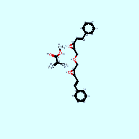 C(=CC1OC1COCC1OC1C=Cc1ccccc1)c1ccccc1.C=C(C)C(=O)OC